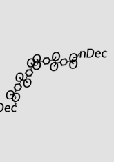 CCCCCCCCCCCCOC(=O)c1ccc(C(=O)C(=O)c2ccc(C(=O)OC(=O)c3ccc(C(=O)C(=O)c4ccc(C(=O)OCCCCCCCCCCCC)cc4)cc3)cc2)cc1